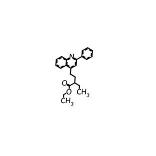 CCOC(=O)C(CC)CCc1cc(-c2ccccc2)nc2ccccc12